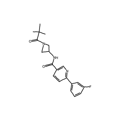 CC(C)(C)C(=O)N1CC(NC(=O)c2ccc(-c3cccc(F)c3)nc2)C1